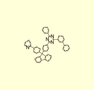 c1ccc(-c2cccc(-c3nc(-c4ccccc4)nc(-c4ccc(C5(c6ccc(-c7ccccn7)cc6)c6ccccc6-c6ccccc65)cc4)n3)c2)cc1